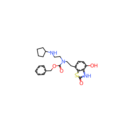 O=C(OCc1ccccc1)N(CCNC1CCCC1)CCc1ccc(O)c2[nH]c(=O)sc12